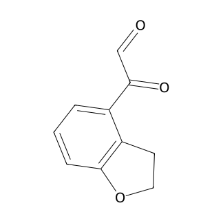 O=CC(=O)c1cccc2c1CCO2